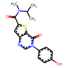 CC(C)N(C)C(=O)c1cc2ncn(-c3ccc(O)cc3)c(=O)c2s1